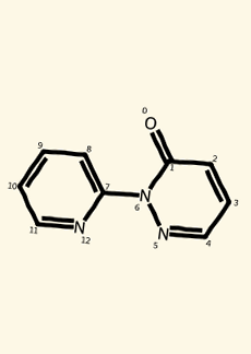 O=c1cccnn1-c1ccccn1